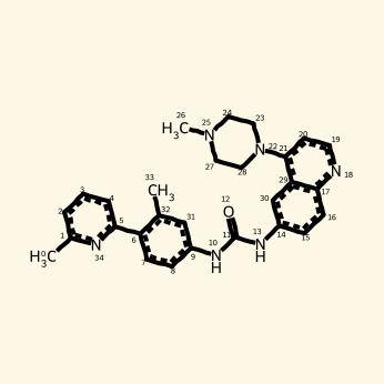 Cc1cccc(-c2ccc(NC(=O)Nc3ccc4nccc(N5CCN(C)CC5)c4c3)cc2C)n1